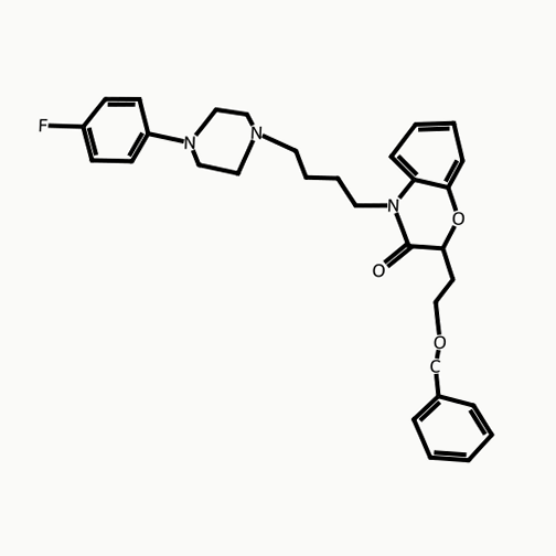 O=C1C(CCOCc2ccccc2)Oc2ccccc2N1CCCCN1CCN(c2ccc(F)cc2)CC1